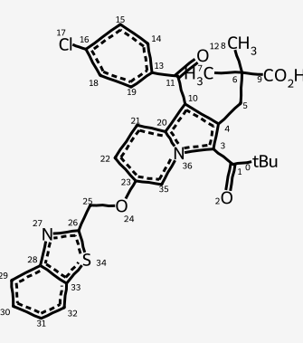 CC(C)(C)C(=O)c1c(CC(C)(C)C(=O)O)c(C(=O)c2ccc(Cl)cc2)c2ccc(OCc3nc4ccccc4s3)cn12